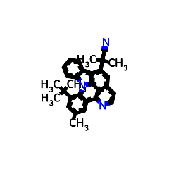 Cc1cc(C(C)(C)C)c2c(c1)c1nccc3cc(C(C)(C)C#N)c4c5ccccc5n2c4c31